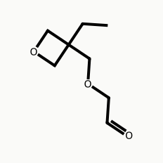 CCC1(COCC=O)COC1